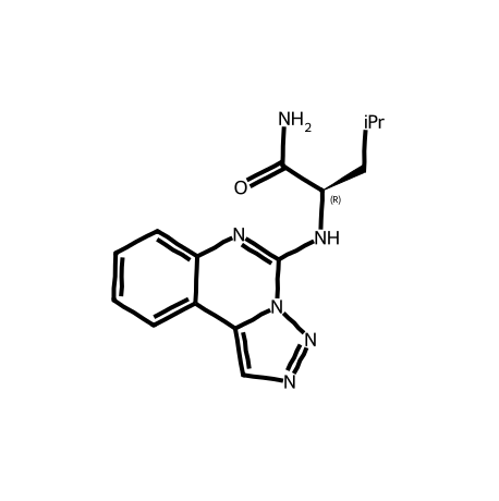 CC(C)C[C@@H](Nc1nc2ccccc2c2cnnn12)C(N)=O